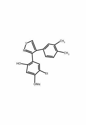 CCc1cc(-c2nscc2-c2ccc(C)c(C)c2)c(O)cc1OC